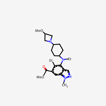 CCc1c(C(=O)OC)cc2c(cnn2C)c1N(CC)C1CCC(N2CC(OC)C2)CC1